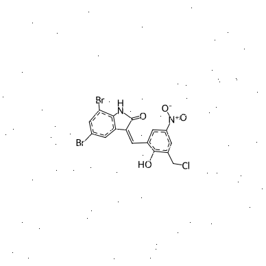 O=C1Nc2c(Br)cc(Br)cc2C1=Cc1cc([N+](=O)[O-])cc(CCl)c1O